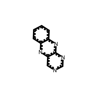 c1ccc2nc3ncncc3nc2c1